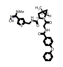 CN/C(=N/C#N)c1csc(CNC(=O)[C@@H]2C[C@]3(C)C[C@@H]3N2C(=O)CNC(=O)c2ccc(Oc3ccccc3)cc2)c1